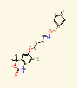 Cc1ccc(SON=CCCCOc2cc3c(cc2Br)NC(=O)OC3(C)C)cc1